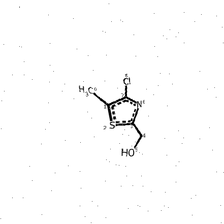 Cc1sc(CO)nc1Cl